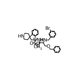 CS(=O)(=O)[N+]1(NC(=O)C(COCc2ccccc2)NCc2cccc(Br)c2)CC2(CCNCC2)c2ccccc21